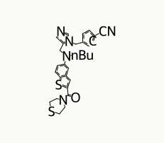 CCCCN(Cc1cncn1Cc1ccc(C#N)cc1)c1ccc2sc(C(=O)N3CCSCC3)cc2c1